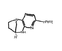 CCCCCc1ccc2c(n1)N[C@H]1CCN2C1